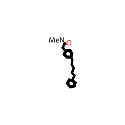 CNC(=O)Cc1ccc(CCCCCc2ccccc2)cc1